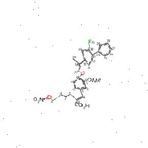 COc1cc(C=C(CCCCO[N+](=O)[O-])C(=O)O)ccc1OCC(C)c1ccc(-c2ccccc2)c(F)c1